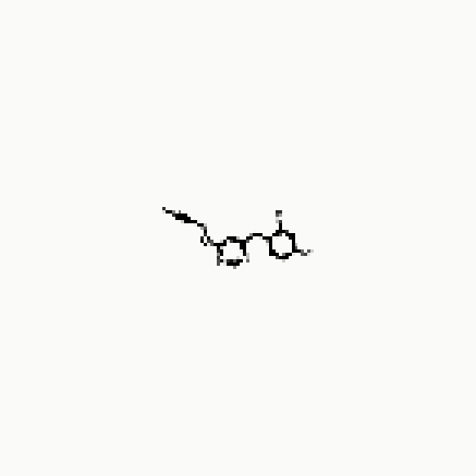 CC#CCOc1cc(Cc2ccc(F)cc2F)ncn1